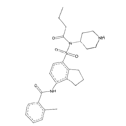 CCCC(=O)N(C1CCNCC1)S(=O)(=O)c1ccc(NC(=O)c2ccccc2C)c2c1CCC2